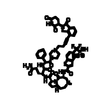 CN1CC[C@H]2CC[C@@H](C(=O)N[C@@H](CCC(N)=O)C(=O)N[C@H](C(=O)N3CCN(CCC#Cc4cccc5c4CN(C4CCC(=O)NC4=O)C5=O)CC3)c3ccccc3)N2C(=O)[C@@H](NC(=O)c2cc3cc(C(F)(F)P(=O)(O)O)ccc3s2)C1